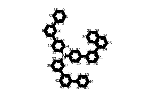 c1ccc(-c2cccc(-c3ccc(N(c4ccc(-c5cccc(-c6cccc7ccccc67)c5)cc4)c4cccc(-c5cccc(-c6ccccc6)c5)c4)cc3)c2)cc1